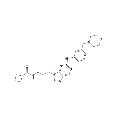 O=C(NCCCn1ccc2cnc(Nc3cccc(CN4CCOCC4)c3)nc21)C1CCC1